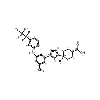 Cc1cc(Nc2nccc(C(F)(F)C(F)(F)F)n2)cc(-c2cnc([C@]3(O)CC[C@@H](C(=O)O)CC3)s2)c1